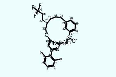 Cc1cccc(C)c1-c1cc2nc(n1)N[S+]([O-])c1cccc(c1)CCC[C@H](CCC(F)(F)F)CO2